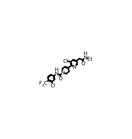 CCNC(=O)Cc1cnc(C2=CCN(C(=O)Nc3ccc(C(F)(F)F)c(Cl)c3)CC2)c(Cl)c1